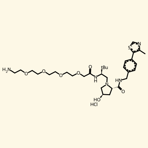 Cc1ncsc1-c1ccc(CNC(=O)[C@@H]2C[C@@H](O)CN2C[C@@H](NC(=O)COCCOCCOCCOCCN)C(C)(C)C)cc1.Cl